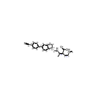 C=N/C=C\C(C(=O)O)=C(/C)NC[C@H]1COc2cc(-c3ccc(C#N)cc3)ccc21